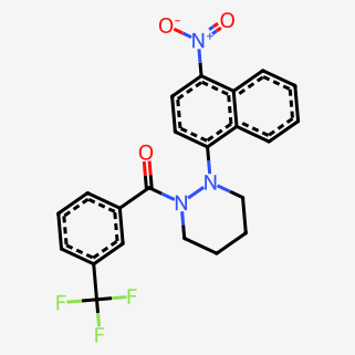 O=C(c1cccc(C(F)(F)F)c1)N1CCCCN1c1ccc([N+](=O)[O-])c2ccccc12